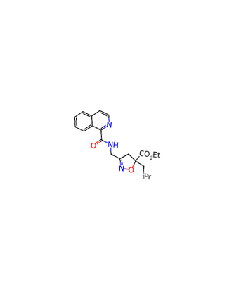 CCOC(=O)C1(CC(C)C)CC(CNC(=O)c2nccc3ccccc23)=NO1